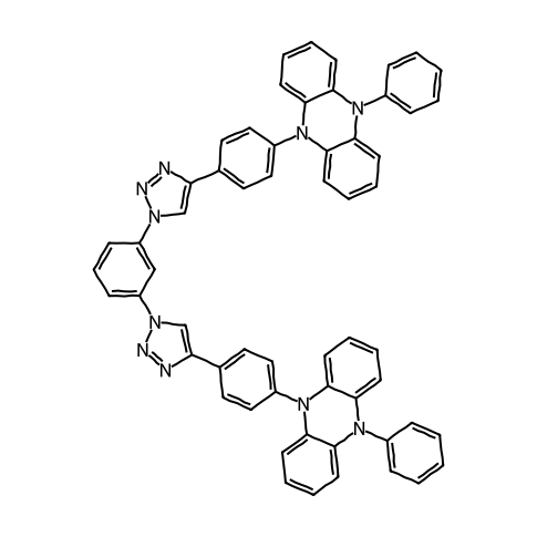 c1ccc(N2c3ccccc3N(c3ccc(-c4cn(-c5cccc(-n6cc(-c7ccc(N8c9ccccc9N(c9ccccc9)c9ccccc98)cc7)nn6)c5)nn4)cc3)c3ccccc32)cc1